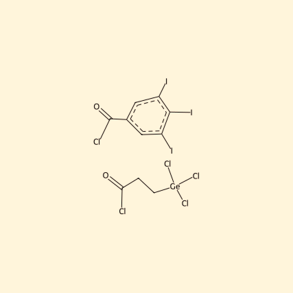 O=C(Cl)C[CH2][Ge]([Cl])([Cl])[Cl].O=C(Cl)c1cc(I)c(I)c(I)c1